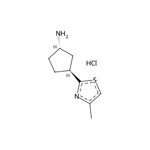 Cc1csc([C@H]2CC[C@H](N)C2)n1.Cl